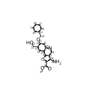 COC(=O)c1sc2c(cnc3cc(OCc4ccccc4)c(CO)cc32)c1N